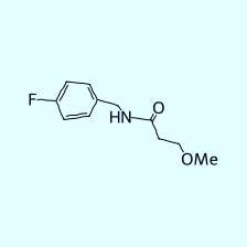 COCCC(=O)NCc1ccc(F)cc1